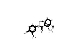 N[C@H]1[C@@H](C(=O)Nc2ccc(F)c(C(F)(F)F)c2)[C@H]2CC[C@@H]1O2